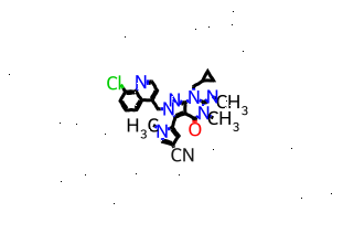 CN=c1n(C)c(=O)c2c(-c3cc(C#N)cn3C)n(Cc3ccnc4c(Cl)cccc34)nc2n1CC1CC1